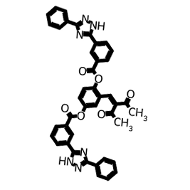 CC(=O)C(=Cc1cc(OC(=O)c2cccc(-c3nc(-c4ccccc4)n[nH]3)c2)ccc1OC(=O)c1cccc(-c2nc(-c3ccccc3)n[nH]2)c1)C(C)=O